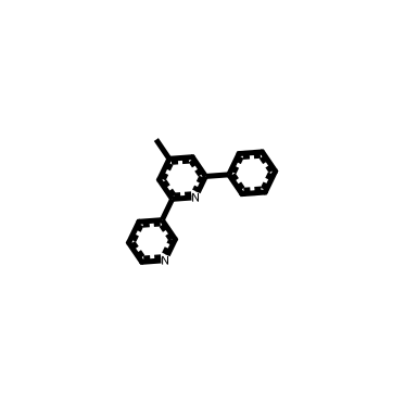 Cc1cc(-c2ccccc2)nc(-c2cccnc2)c1